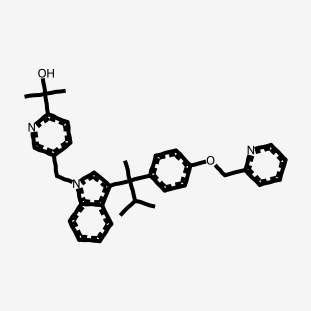 CC(C)C(C)(c1ccc(OCc2ccccn2)cc1)c1cn(Cc2ccc(C(C)(C)O)nc2)c2ccccc12